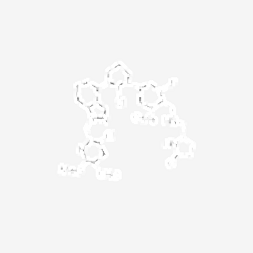 COc1cc(-c2cccc(-c3cccc4c3cnn4Cc3nc(OC)c(C=O)cc3Cl)c2Cl)cc(F)c1CNC[C@@H]1CCC(=O)N1